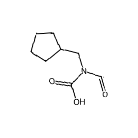 O=[C]N(CC1CCCC1)C(=O)O